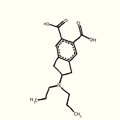 CCCN(CCC)C1Cc2cc(C(=O)O)c(C(=O)O)cc2C1